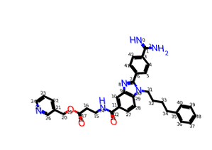 N=C(N)c1ccc(-c2nc3cc(C(=O)NCCC(=O)OCc4cccnc4)ccc3n2CCCCc2ccccc2)cc1